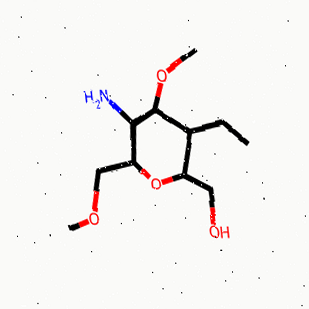 CCC1C(CO)OC(COC)C(N)C1OC